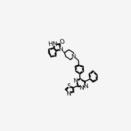 O=c1[nH]c2ccccc2n1C1CCN(Cc2ccc(-c3nc(-c4cncs4)nnc3-c3ccccc3)cc2)CC1